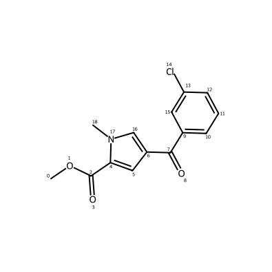 COC(=O)c1cc(C(=O)c2cccc(Cl)c2)cn1C